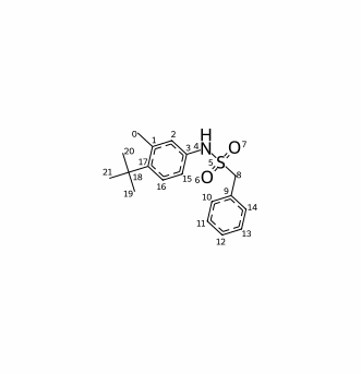 Cc1cc(NS(=O)(=O)Cc2ccccc2)ccc1C(C)(C)C